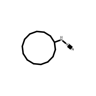 N#[N+]NC1CCCCCCCCCCCCC1